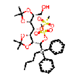 CCCC[Si](c1ccccc1)(c1ccccc1)C(OS(C)(=O)=O)[C@@H]1OC(C)(C)O[C@@H]1[C@@H](OS(C)(=O)=O)[C@@H]1OC(C)(C)O[C@H]1CO